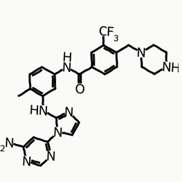 Cc1ccc(NC(=O)c2ccc(CN3CCNCC3)c(C(F)(F)F)c2)cc1Nc1nccn1-c1cc(N)ncn1